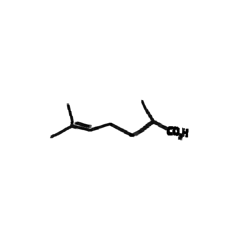 CC(C)=CCCC(C)C(=O)O